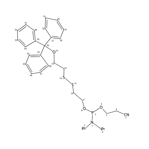 CC(C)N(C(C)C)P(OCCC#N)OCCSSCCOC(c1ccccc1)(c1ccccc1)c1ccccc1